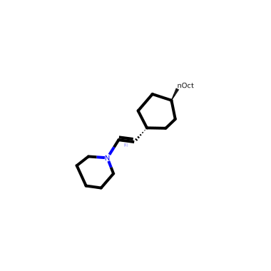 CCCCCCCC[C@H]1CC[C@H](/C=C/N2CCCCC2)CC1